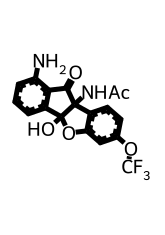 CC(=O)NC12C(=O)c3c(N)cccc3C1(O)Oc1cc(OC(F)(F)F)ccc12